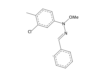 CON(N=Cc1[c]cccc1)c1ccc(C)c(Cl)c1